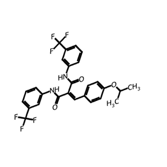 CC(C)Oc1ccc(C=C(C(=O)Nc2cccc(C(F)(F)F)c2)C(=O)Nc2cccc(C(F)(F)F)c2)cc1